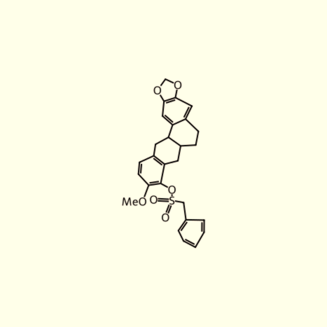 COc1ccc2c(c1OS(=O)(=O)Cc1ccccc1)CC1CCc3cc4c(cc3C1C2)OCO4